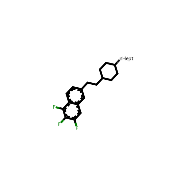 CCCCCCCC1CCC(CCc2ccc3c(F)c(F)c(F)cc3c2)CC1